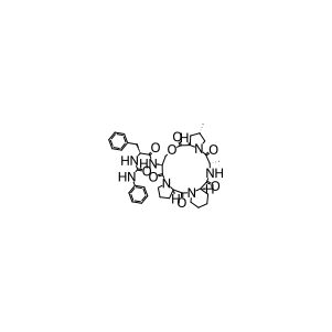 C[C@H]1C[C@H]2C(=O)OC[C@H](NC(=O)[C@H](Cc3ccccc3)NC(=O)Nc3ccccc3)C(=O)N3CCC[C@H]3C(=O)N3CCCC[C@H]3C(=O)N[C@@H](C)C(=O)N2C1